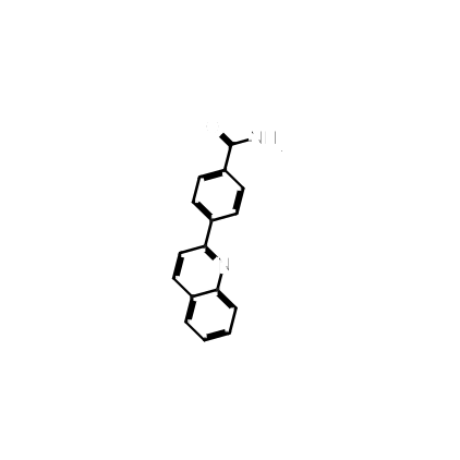 NC(=O)c1ccc(-c2ccc3ccccc3n2)cc1